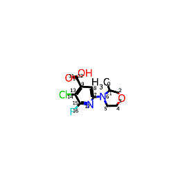 CC1COCCN1c1cc(C(=O)O)c(Cl)c(F)n1